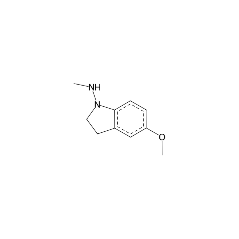 CNN1CCc2cc(OC)ccc21